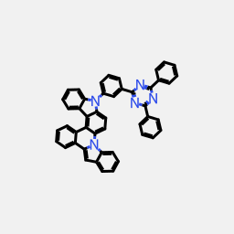 c1ccc(-c2nc(-c3ccccc3)nc(-c3cccc(-n4c5ccccc5c5c6c7ccccc7c7cc8ccccc8n7c6ccc54)c3)n2)cc1